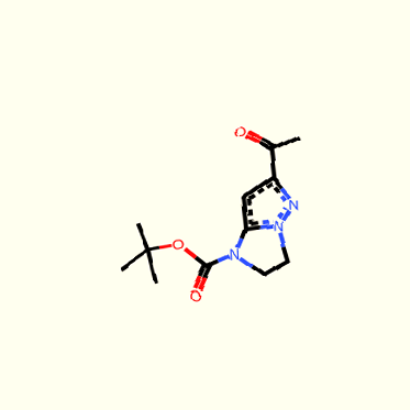 CC(=O)c1cc2n(n1)CCN2C(=O)OC(C)(C)C